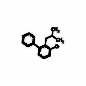 CC(C)Cc1c([O])cccc1-c1ccccc1